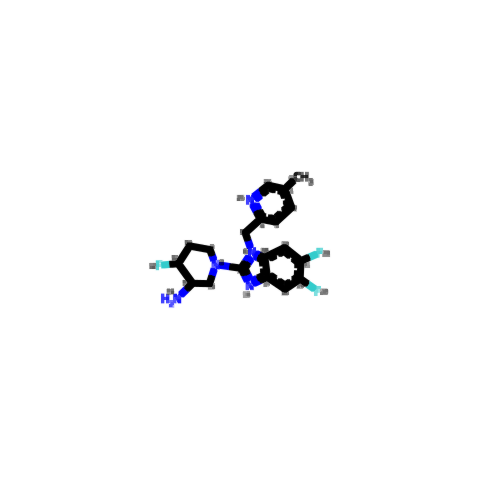 Cc1ccc(Cn2c(N3CCC(F)C(N)C3)nc3cc(F)c(F)cc32)nc1